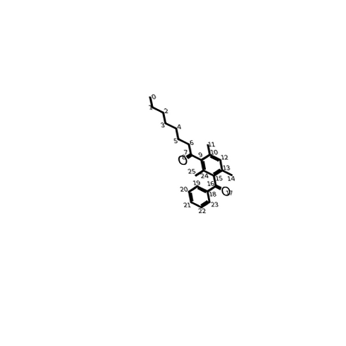 CCCCCCCC(=O)c1c(C)cc(C)c(C(=O)c2ccccc2)c1C